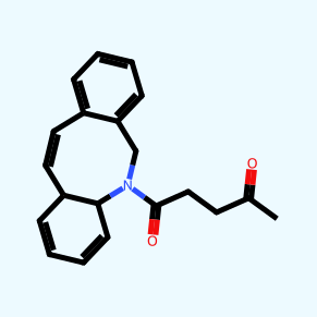 CC(=O)CCC(=O)N1Cc2ccccc2/C=C\C2C=CC=CC21